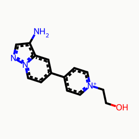 Nc1cnn2ccc(-c3cc[n+](CCO)cc3)cc12